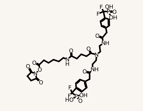 O=C(CCCC(=O)N(CCNC(=O)Cc1ccc(C(F)(F)P(=O)(O)O)cc1)CCNC(=O)Cc1ccc(C(F)(F)P(=O)(O)O)cc1)NCCCCCC(=O)ON1C(=O)CCC1=O